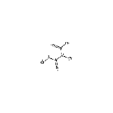 CC(C)N(C(=O)Cl)C(=O)CCl